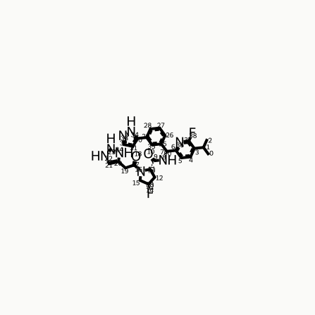 CC(C)c1ccc([C@H](NC(=O)[C@@H]2C[C@@H](F)CN2C(=O)CC2=CNNN2)c2cccc(-c3ccn[nH]3)c2)nc1F